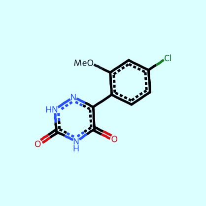 COc1cc(Cl)ccc1-c1n[nH]c(=O)[nH]c1=O